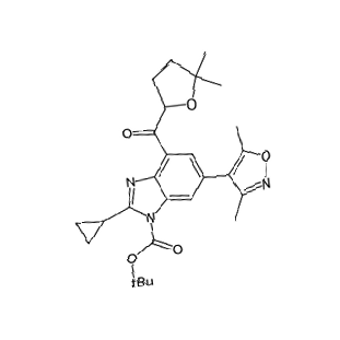 Cc1noc(C)c1-c1cc(C(=O)C2CCC(C)(C)O2)c2nc(C3CC3)n(C(=O)OC(C)(C)C)c2c1